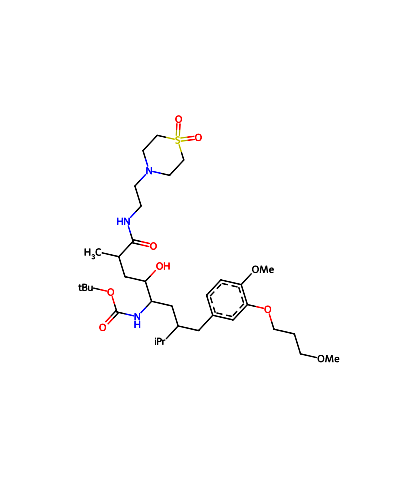 COCCCOc1cc(CC(CC(NC(=O)OC(C)(C)C)C(O)CC(C)C(=O)NCCN2CCS(=O)(=O)CC2)C(C)C)ccc1OC